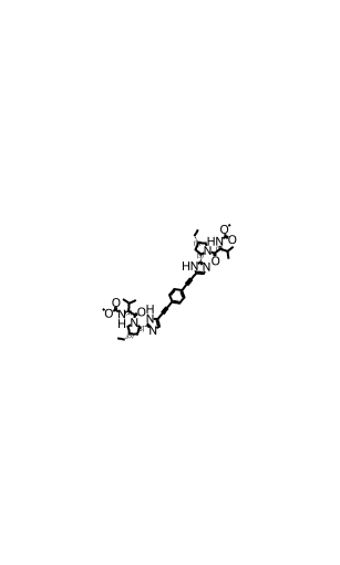 CC[C@H]1C[C@@H](c2ncc(C#Cc3ccc(C#Cc4cnc([C@@H]5C[C@H](CC)CN5C(=O)[C@@H](NC(=O)OC)C(C)C)[nH]4)cc3)[nH]2)N(C(=O)[C@@H](NC(=O)OC)C(C)C)C1